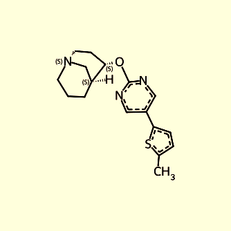 Cc1ccc(-c2cnc(O[C@H]3CC[N@@]4CCC[C@H]3C4)nc2)s1